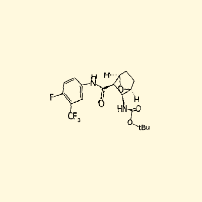 CC(C)(C)OC(=O)N[C@H]1[C@@H](C(=O)Nc2ccc(F)c(C(F)(F)F)c2)[C@H]2CC[C@@H]1O2